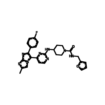 Cc1cn2c(-c3ccnc(NC4CCN(C(=O)NCc5ccco5)CC4)n3)c(-c3ccc(F)cc3)nc2s1